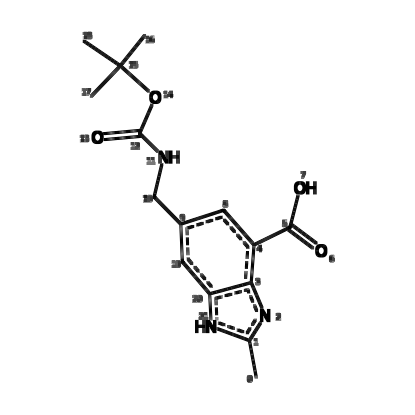 Cc1nc2c(C(=O)O)cc(CNC(=O)OC(C)(C)C)cc2[nH]1